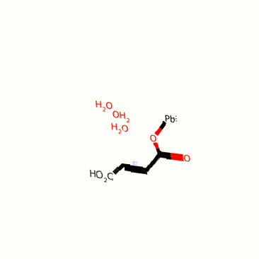 O.O.O.O=C(O)/C=C/C(=O)[O][Pb]